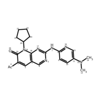 CC(=O)c1cc2cnc(Nc3ccc(N(C)C)cn3)nc2n(C2CCCC2)c1=O